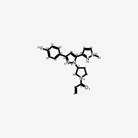 C=CC(=O)N1CCC(n2nc(-c3ccc(F)cc3)cc2-c2ccn(C)n2)C1